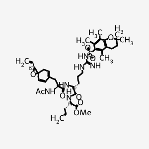 C=CC[C@H](NC(=O)[C@@H](CCCNC(=N)NS(=O)(=O)c1c(C)c(C)c2c(c1C)CCC(C)(C)O2)NC(=O)[C@H](CC1=CCC2(C=C1)O[C@H]2C=C)NC(C)=O)C(=O)OC